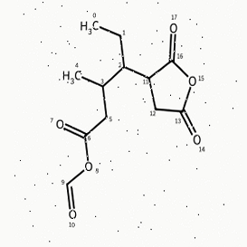 CCC(C(C)CC(=O)OC=O)C1CC(=O)OC1=O